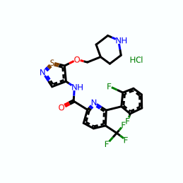 Cl.O=C(Nc1cnsc1OCC1CCNCC1)c1ccc(C(F)(F)F)c(-c2c(F)cccc2F)n1